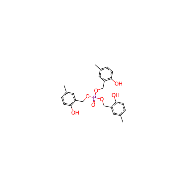 Cc1ccc(O)c(COP(=O)(OCc2cc(C)ccc2O)OCc2cc(C)ccc2O)c1